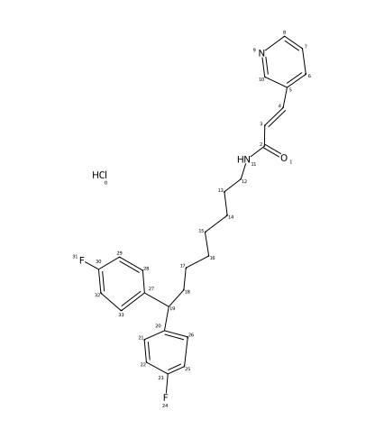 Cl.O=C(C=Cc1cccnc1)NCCCCCCCC(c1ccc(F)cc1)c1ccc(F)cc1